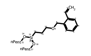 C=Cc1ccccc1COCCC[SiH](OCCCCC)OCCCCC